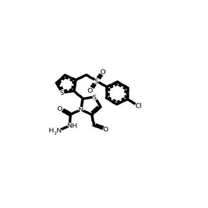 NNC(=O)N1C([C]=O)=CSC1c1sccc1CS(=O)(=O)c1ccc(Cl)cc1